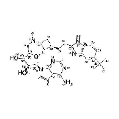 CN(C[C@H]1O[C@@H](n2cnc3c(N)ncnc32)[C@@H](O)[C@H]1O)[C@H]1C[C@H](CCc2nc3cc(C(C)(C)C)ccc3[nH]2)C1